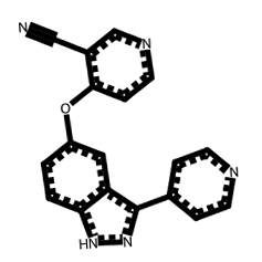 N#Cc1cnccc1Oc1ccc2[nH]nc(-c3ccncc3)c2c1